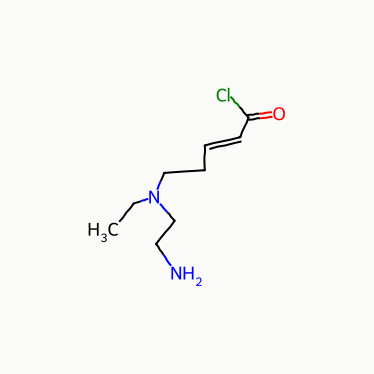 CCN(CCN)CC/C=C/C(=O)Cl